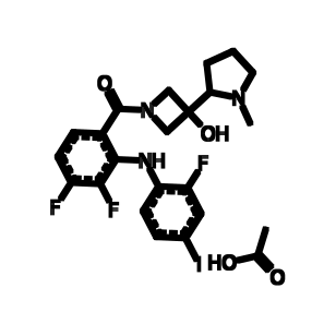 CC(=O)O.CN1CCCC1C1(O)CN(C(=O)c2ccc(F)c(F)c2Nc2ccc(I)cc2F)C1